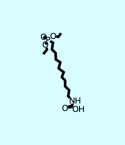 CCOP(=O)(CCCCCCCCCCCCNC(=O)O)OCC